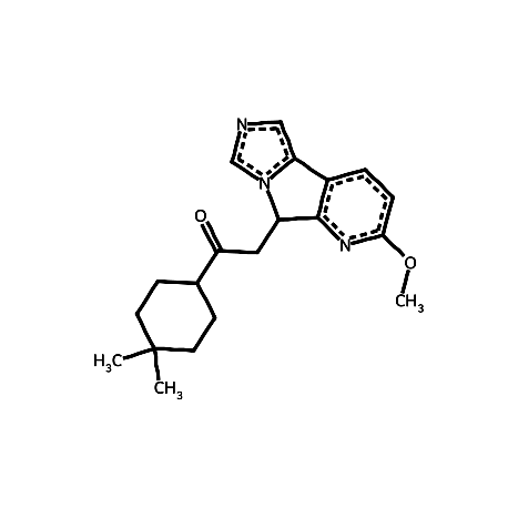 COc1ccc2c(n1)C(CC(=O)C1CCC(C)(C)CC1)n1cncc1-2